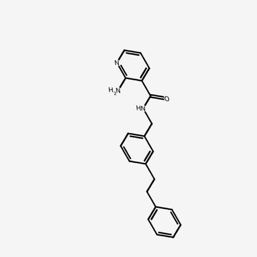 Nc1ncccc1C(=O)NCc1cccc(CCc2ccccc2)c1